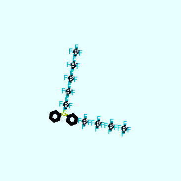 F[B-](F)(F)F.F[B-](F)(F)F.F[B-](F)(F)F.F[B-](F)(F)F.F[B-](F)(F)F.F[B-](F)(F)F.F[B-](F)(F)F.F[B-](F)(F)F.F[B-](F)(F)F.c1ccc(Sc2ccccc2)cc1